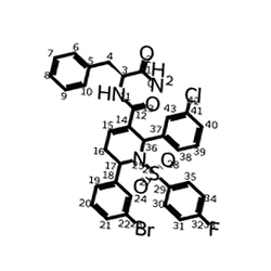 NC(=O)[C@H](Cc1ccccc1)NC(=O)C1=CCC(c2cccc(Br)c2)N(S(=O)(=O)c2ccc(F)cc2)C1c1cccc(Cl)c1